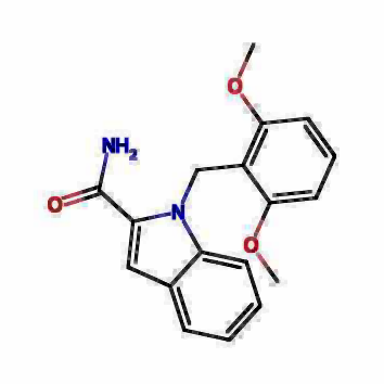 COc1cccc(OC)c1Cn1c(C(N)=O)cc2ccccc21